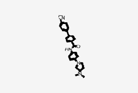 CN(C)C1CCN(c2ccc(NC(=O)c3ccc(-c4ccc(C#N)cc4)cc3)cc2)C1